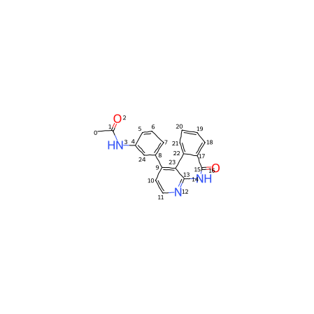 CC(=O)Nc1cccc(-c2ccnc3[nH]c(=O)c4ccccc4c23)c1